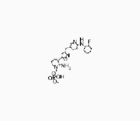 COP(=O)(O)OC[n+]1cccc(-c2cc(Cc3ccc(Nc4ccccc4F)nc3)no2)c1N